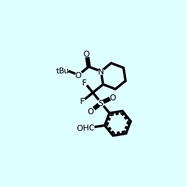 CC(C)(C)OC(=O)N1CCCCC1C(F)(F)S(=O)(=O)c1ccccc1C=O